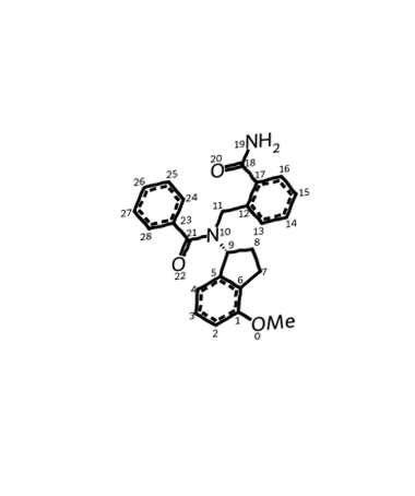 COc1cccc2c1CC[C@H]2N(Cc1ccccc1C(N)=O)C(=O)c1ccccc1